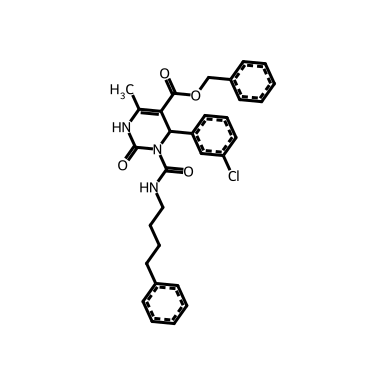 CC1=C(C(=O)OCc2ccccc2)C(c2cccc(Cl)c2)N(C(=O)NCCCCc2ccccc2)C(=O)N1